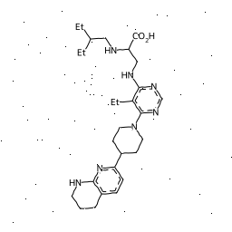 CCc1c(NCC(NCC(CC)CC)C(=O)O)ncnc1N1CCC(c2ccc3c(n2)NCCC3)CC1